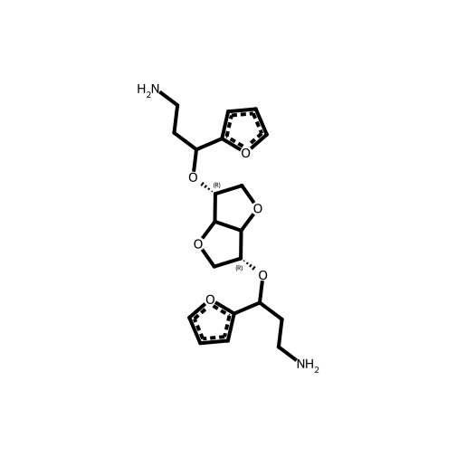 NCCC(O[C@@H]1COC2C1OC[C@H]2OC(CCN)c1ccco1)c1ccco1